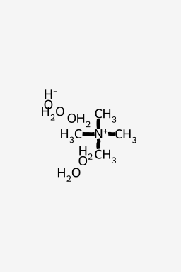 C[N+](C)(C)C.O.O.O.O.[OH-]